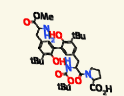 COC(=O)C(N)Cc1cc(-c2cc(CC(NC(=O)OC(C)(C)C)C(=O)N3CCCC3C(=O)O)cc(C(C)(C)C)c2O)c(O)c(C(C)(C)C)c1